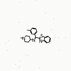 Cc1cccc(C(=NC2CCN(C)CC2)c2nc3ccccc3s2)c1